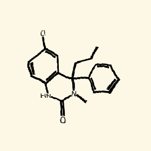 CCCC1(c2ccccc2)c2cc(Cl)ccc2NC(=O)N1C